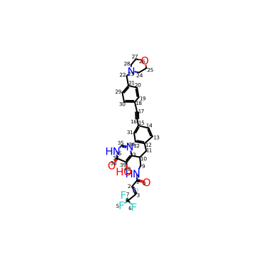 O=C(/C=C/C(F)(F)F)NCC(Cc1ccc(C#Cc2ccc(CN3CCOCC3)cc2)cc1)c1nc[nH]c(=O)c1O